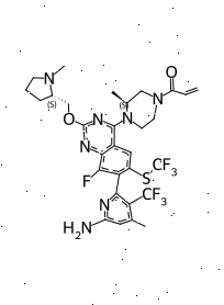 C=CC(=O)N1CCN(c2nc(OC[C@@H]3CCCN3C)nc3c(F)c(-c4nc(N)cc(C)c4C(F)(F)F)c(SC(F)(F)F)cc23)[C@@H](C)C1